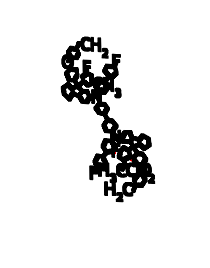 C=Cc1ccc(Oc2ccc(C3(c4cc(C)cc(F)c4)c4ccccc4-c4ccc(N(c5ccc(-c6ccc(F)cc6)cc5)c5ccc(-c6ccc(N(c7ccc(-c8ccc(F)cc8)cc7)c7ccc8c(c7)C(c7ccc(Oc9ccc(C=C)cc9)cc7)(c7cc(F)cc(C(=C)C)c7)c7ccccc7-8)cc6)cc5)cc43)cc2)cc1